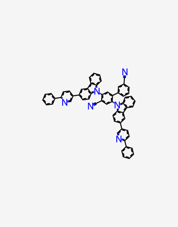 N#Cc1cccc(-c2cc(-n3c4ccccc4c4cc(-c5ccc(-c6ccccc6)nc5)ccc43)c(C#N)cc2-n2c3ccccc3c3cc(-c4ccc(-c5ccccc5)nc4)ccc32)c1